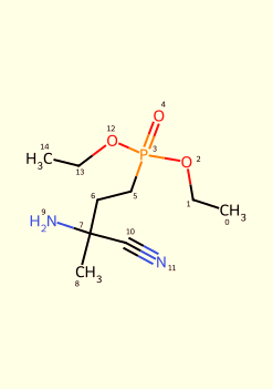 CCOP(=O)(CCC(C)(N)C#N)OCC